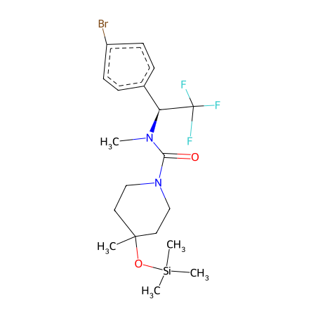 CN(C(=O)N1CCC(C)(O[Si](C)(C)C)CC1)[C@@H](c1ccc(Br)cc1)C(F)(F)F